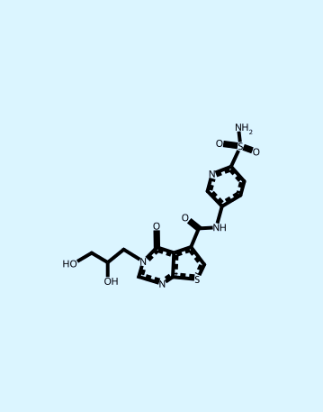 NS(=O)(=O)c1ccc(NC(=O)c2csc3ncn(CC(O)CO)c(=O)c23)cn1